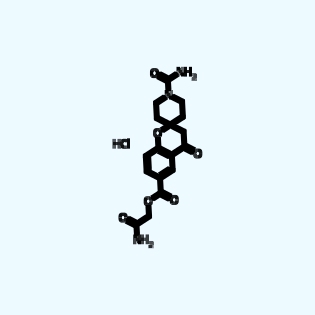 Cl.NC(=O)COC(=O)c1ccc2c(c1)C(=O)CC1(CCN(C(N)=O)CC1)O2